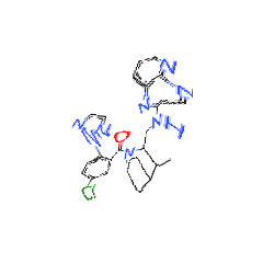 CC1C2CC(C2)N(C(=O)c2cc(Cl)ccc2-n2nccn2)C1CNc1cnc2ncccc2n1